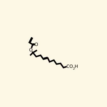 C=CC(=O)OC(C)(C)CCC=CCCCCCC(=O)O